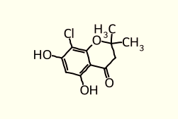 CC1(C)CC(=O)c2c(O)cc(O)c(Cl)c2O1